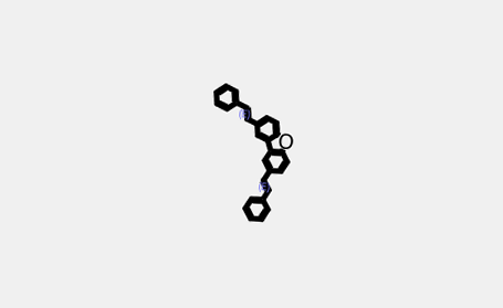 C(=C\c1ccc2oc3ccc(/C=C/c4ccccc4)cc3c2c1)/c1ccccc1